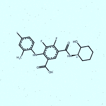 Cc1cc(I)ccc1Nc1c(C(=O)O)cc(C(=O)N[C@@H]2CCCCC2O)c(F)c1F